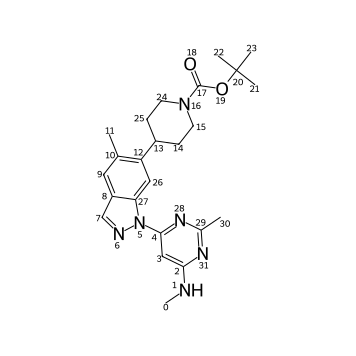 CNc1cc(-n2ncc3cc(C)c(C4CCN(C(=O)OC(C)(C)C)CC4)cc32)nc(C)n1